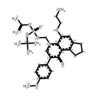 C=C(C)OP(=O)(OCn1cc(-c2ccc(OC)cc2)c(=O)c2c3c(cc(OCCC)c21)CCC3)OC(C)(C)C